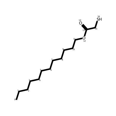 CCCCCCCCCCCCOC(=O)CS